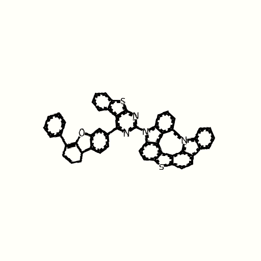 C1=CC(c2ccccc2)=C2Oc3cc(-c4nc(-n5c6ccc7sc8ccc9c%10ccccc%10n%10c%11cccc5c%11c6c7c8c9%10)nc5sc6ccccc6c45)ccc3C2C1